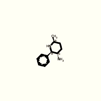 C[C@H]1CC[C@H](N)[C@@H](c2ccccc2)N1